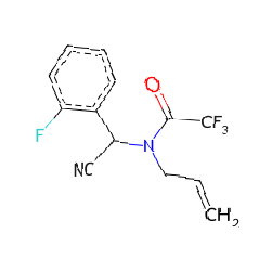 C=CCN(C(=O)C(F)(F)F)C(C#N)c1ccccc1F